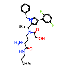 [CH2]C(=O)NCCNC(=O)[C@@H](N)CCN(C(=O)CO)[C@@H](c1cc(-c2cc(F)ccc2F)cn1Cc1ccccc1)C(C)(C)C